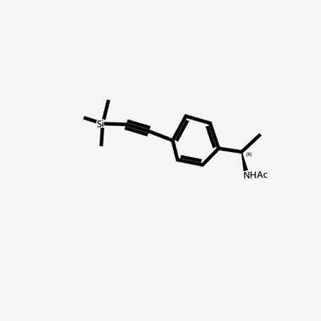 CC(=O)N[C@H](C)c1ccc(C#C[Si](C)(C)C)cc1